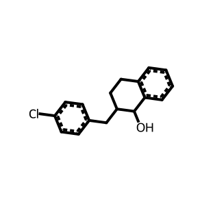 OC1c2ccccc2CCC1Cc1ccc(Cl)cc1